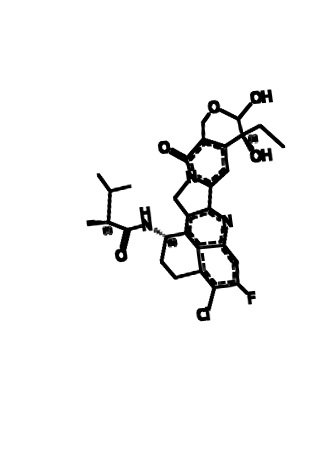 CC[C@]1(O)c2cc3n(c(=O)c2COC1O)Cc1c-3nc2cc(F)c(Cl)c3c2c1[C@@H](NC(=O)[C@@H](C)C(C)C)CC3